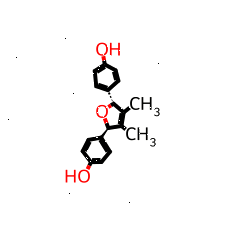 CC1=C(C)[C@@H](c2ccc(O)cc2)O[C@@H]1c1ccc(O)cc1